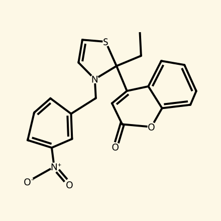 CCC1(c2cc(=O)oc3ccccc23)SC=CN1Cc1cccc([N+](=O)[O-])c1